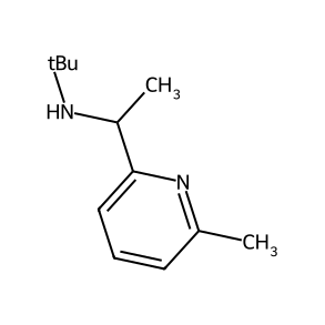 Cc1cccc(C(C)NC(C)(C)C)n1